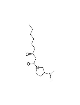 CCCCCCC(=O)CC(=O)N1CCC(N(C)C)C1